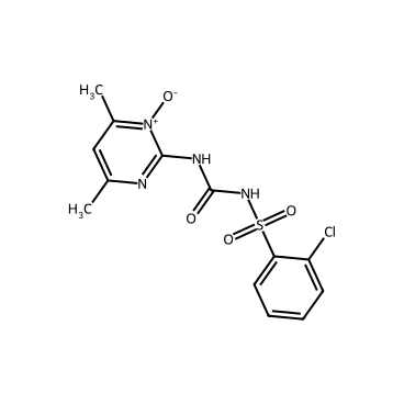 Cc1cc(C)[n+]([O-])c(NC(=O)NS(=O)(=O)c2ccccc2Cl)n1